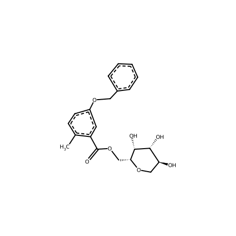 Cc1ccc(OCc2ccccc2)cc1C(=O)OC[C@H]1OC[C@H](O)[C@@H](O)[C@H]1O